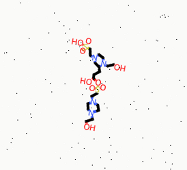 O=S(=O)(O)CCN1CCN(CCO)C(CCC(O)OS(=O)(=O)CCN2CCN(CCO)CC2)C1